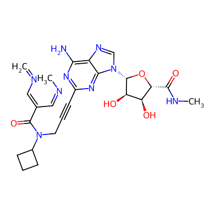 C=N/C=C(\C=N/C)C(=O)N(CC#Cc1nc(N)c2ncn([C@@H]3O[C@H](C(=O)NC)[C@@H](O)[C@H]3O)c2n1)C1CCC1